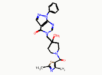 Cc1nc(C)c(C(=O)N2CCC(O)(Cn3cnc4c(cnn4-c4ccccc4)c3=O)CC2)s1